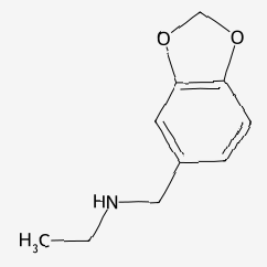 CCNCc1ccc2c(c1)OCO2